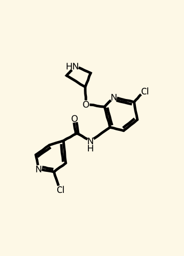 O=C(Nc1ccc(Cl)nc1OC1CNC1)c1ccnc(Cl)c1